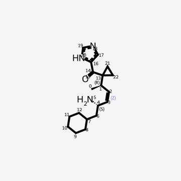 C[C@H](/C=C\[C@@H](N)CC1CCCCC1)C1(C(=O)c2cnc[nH]2)CC1